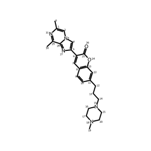 Cc1cn2cc(-c3cc4ccc(CCCN5CCN(C)CC5)cc4oc3=O)nc2c(C)n1